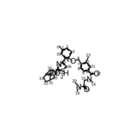 Cc1ccc(OCc2ccc(C(=O)N(C)CC(=O)N(C)C)cc2C)c(-c2csc(N3CC4CCC(C3)C4C(=O)O)n2)c1